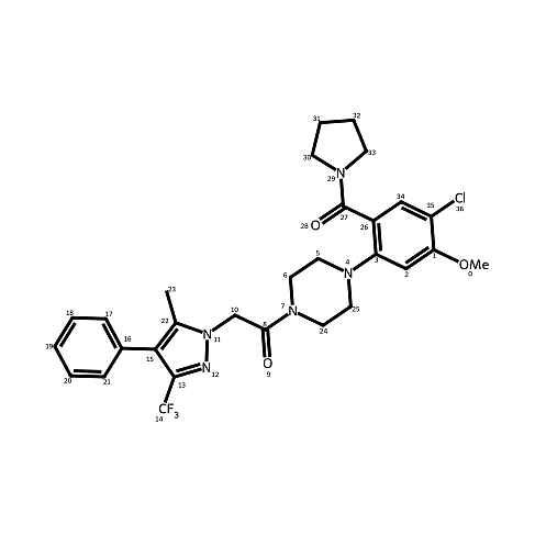 COc1cc(N2CCN(C(=O)Cn3nc(C(F)(F)F)c(-c4ccccc4)c3C)CC2)c(C(=O)N2CCCC2)cc1Cl